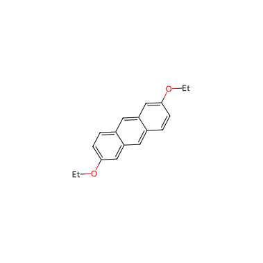 CCOc1ccc2cc3cc(OCC)ccc3cc2c1